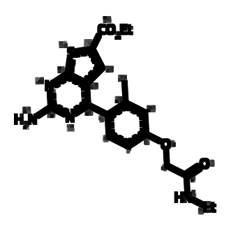 CCNC(=O)COc1ccc(-c2nc(N)nc3sc(C(=O)OCC)cc23)c(C)c1